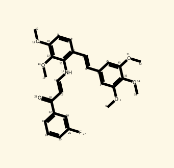 COc1cc(C=Cc2ccc(OC)c(OC)c2NC=CC(=O)c2cccc(F)c2)cc(OC)c1OC